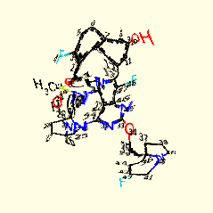 C#Cc1c(F)ccc2cc(O)cc(-c3nc(N(C)S(C)(=O)=O)c4c(N5CC6CCC(C5)N6)nc(OC[C@@]56CCCN5C[C@H](F)C6)nc4c3F)c12